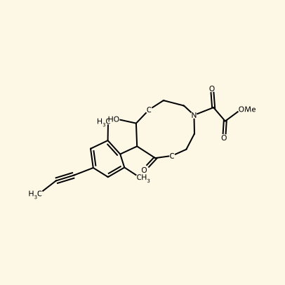 CC#Cc1cc(C)c(C2C(=O)CCCN(C(=O)C(=O)OC)CCCC2O)c(C)c1